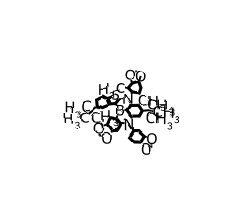 Cc1cc2c(c(C)c1N1c3cc(C(C)(C)C)cc4c3B(c3cc5c(cc3N4c3ccc4c(c3)OCO4)OCO5)c3c1sc1ccc(C(C)(C)C)cc31)OCO2